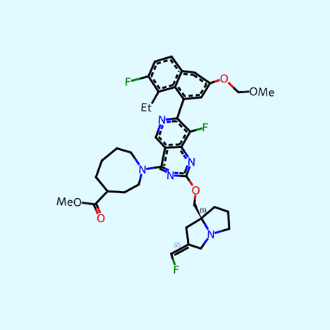 CCc1c(F)ccc2cc(OCOC)cc(-c3ncc4c(N5CCCCC(C(=O)OC)CC5)nc(OC[C@@]56CCCN5C/C(=C\F)C6)nc4c3F)c12